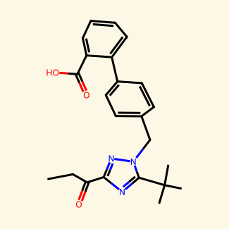 CCC(=O)c1nc(C(C)(C)C)n(Cc2ccc(-c3ccccc3C(=O)O)cc2)n1